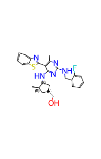 Cc1nc(NCc2ccccc2F)nc(N[C@@H]2C[C@H](CO)C[C@H]2C)c1-c1nc2ccccc2s1